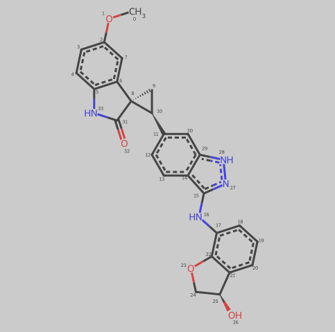 COc1ccc2c(c1)[C@]1(C[C@H]1c1ccc3c(Nc4cccc5c4OC[C@@H]5O)n[nH]c3c1)C(=O)N2